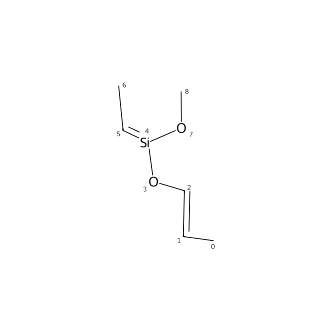 CC=CO[Si](=CC)OC